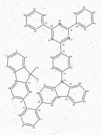 CC1(C)c2ccccc2-c2ccc(-c3ccccc3-c3ccc4c(c3)c3ccccc3n4-c3ccc(-c4nc(-c5ccccc5)nc(-c5ccccc5)n4)cc3)cc21